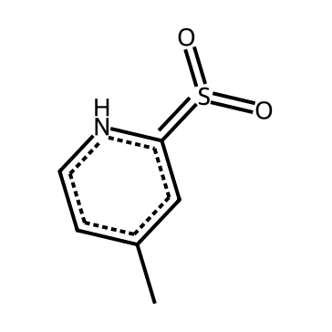 Cc1cc[nH]c(=S(=O)=O)c1